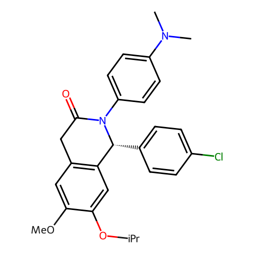 COc1cc2c(cc1OC(C)C)[C@@H](c1ccc(Cl)cc1)N(c1ccc(N(C)C)cc1)C(=O)C2